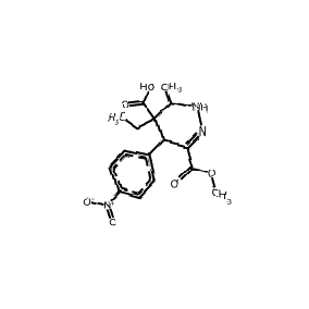 CCC1(C(=O)O)C(C)NN=C(C(=O)OC)C1c1ccc([N+](=O)[O-])cc1